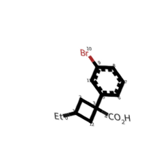 CCC1CC(C(=O)O)(c2cccc(Br)c2)C1